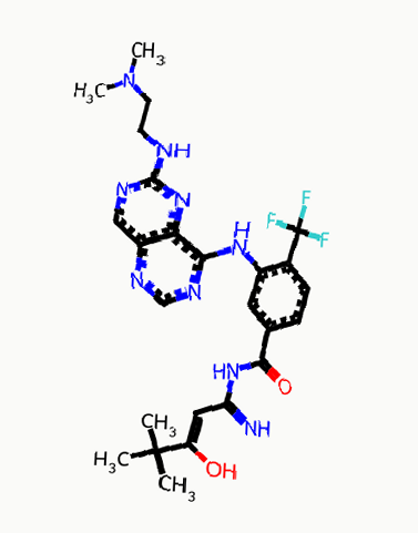 CN(C)CCNc1ncc2ncnc(Nc3cc(C(=O)NC(=N)/C=C(\O)C(C)(C)C)ccc3C(F)(F)F)c2n1